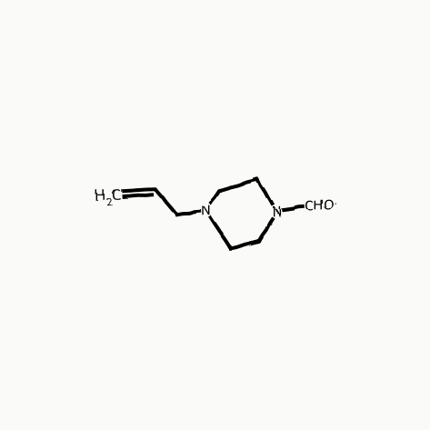 C=CCN1CCN([C]=O)CC1